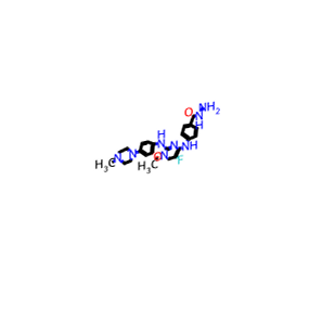 COc1cc(N2CCN(C)CC2)ccc1Nc1ncc(F)c(Nc2ccc(C(=O)NN)cc2)n1